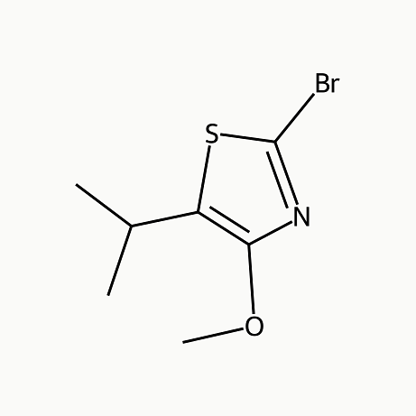 COc1nc(Br)sc1C(C)C